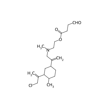 C=C(CN(C)CCOC(=O)CCC=O)C1CCC(C)C(C(=C)CCl)C1